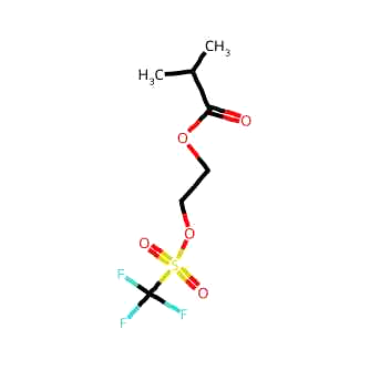 CC(C)C(=O)OCCOS(=O)(=O)C(F)(F)F